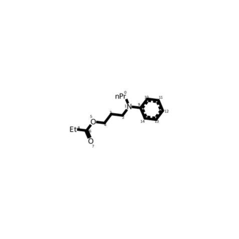 CCCN(CCCOC(=O)CC)c1ccccc1